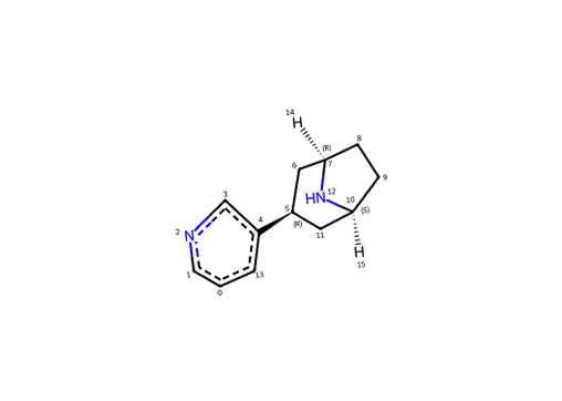 c1cncc([C@H]2C[C@H]3CC[C@@H](C2)N3)c1